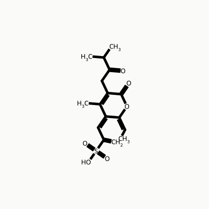 C=C(/C=c1/c(C)c(CC(=O)C(C)C)c(=O)o/c1=C/C)S(=O)(=O)O